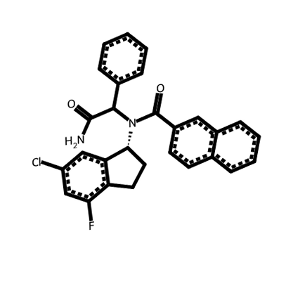 NC(=O)C(c1ccccc1)N(C(=O)c1ccc2ccccc2c1)[C@@H]1CCc2c(F)cc(Cl)cc21